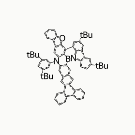 CC(C)(C)c1cc(N2c3cc4cc5c6ccccc6c6ccccc6c5cc4cc3B3c4c2cc2c(oc5ccccc52)c4-c2cc(C(C)(C)C)cc4c5cc(C(C)(C)C)ccc5n3c24)cc(C(C)(C)C)c1